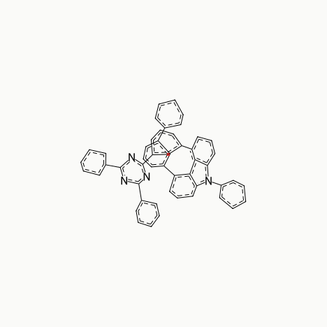 c1ccc(-c2cccc(-c3cccc4c3c3c(-c5cccc(-c6nc(-c7ccccc7)nc(-c7ccccc7)n6)c5)cccc3n4-c3ccccc3)c2)cc1